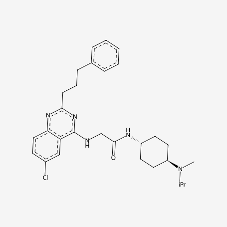 CC(C)N(C)[C@H]1CC[C@H](NC(=O)CNc2nc(CCCc3ccccc3)nc3ccc(Cl)cc23)CC1